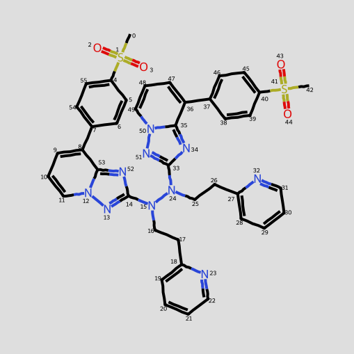 CS(=O)(=O)c1ccc(-c2cccn3nc(N(CCc4ccccn4)N(CCc4ccccn4)c4nc5c(-c6ccc(S(C)(=O)=O)cc6)cccn5n4)nc23)cc1